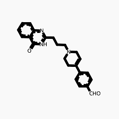 O=Cc1ccc(C2=CCN(CCCc3nc4ccccc4c(=O)[nH]3)CC2)cc1